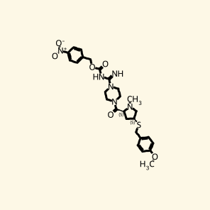 COc1ccc(CS[C@H]2C[C@@H](C(=O)N3CCN(C(=N)NC(=O)OCc4ccc([N+](=O)[O-])cc4)CC3)N(C)C2)cc1